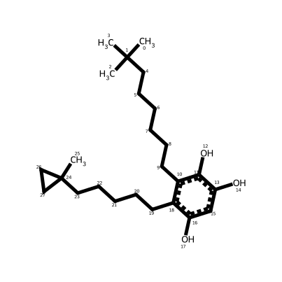 CC(C)(C)CCCCCCc1c(O)c(O)cc(O)c1CCCCCC1(C)CC1